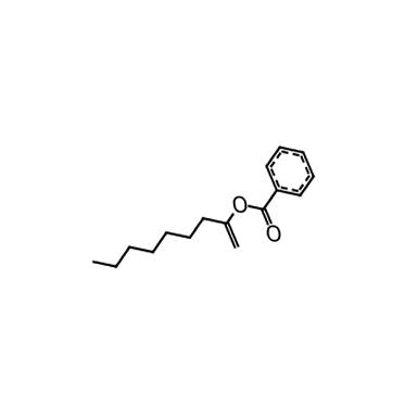 C=C(CCCCCCC)OC(=O)c1ccccc1